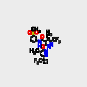 Cc1cc(C2(C(F)(F)F)CCC2)nnc1Oc1nnc(C(F)(F)F)c(C)c1C(=O)Nc1cccc(S(C)(=O)=O)c1